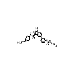 C=CC(=O)Nc1cccc(-c2ccc3[nH]nc(C(=O)NC4CCN(CCO)CC4)c3c2)c1